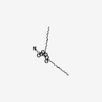 CCCCCCCCC=CCCCCCCCC(=O)OCC(COC(=O)CCCCN(C)C)OC(=O)CCCCCCCC=CCCCCCCCC